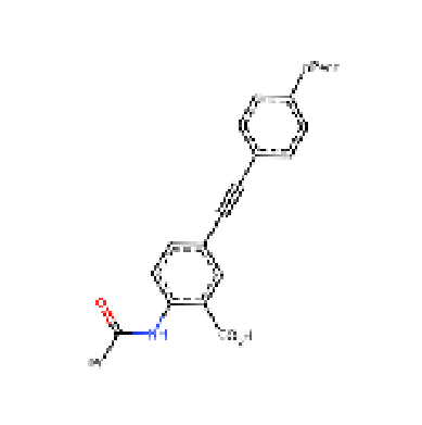 CCCCCc1ccc(C#Cc2ccc(NC(=O)C(C)C)c(C(=O)O)c2)cc1